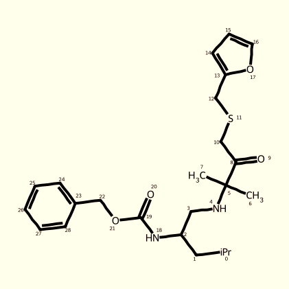 CC(C)CC(CNC(C)(C)C(=O)CSCc1ccco1)NC(=O)OCc1ccccc1